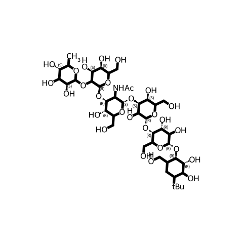 CC(=O)NC1[C@H](O[C@@H]2C(O)[C@@H](O[C@H]3C(CO)O[C@@H](O[C@@H]4C(CO)CC(C(C)(C)C)C(O)[C@H]4O)C(O)[C@H]3O)OC(CO)[C@@H]2O)OC(CO)[C@H](O)[C@@H]1O[C@@H]1OC(CO)[C@H](O)[C@H](O)C1OC1OC(C)[C@@H](O)C(O)[C@@H]1O